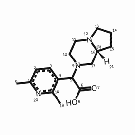 Cc1ccc(C(C(=O)O)N2CCN3CCC[C@@H]3C2)c(C)n1